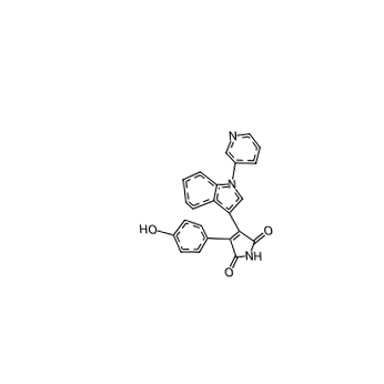 O=C1NC(=O)C(c2cn(-c3cccnc3)c3ccccc23)=C1c1ccc(O)cc1